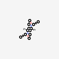 CC(C)c1cc(N(c2ccc(C(C)(C)c3ccccc3)cc2)c2cccc3c2oc2ccccc23)c2ccc3c(C(C)C)cc(N(c4ccc(C(C)(C)c5ccccc5)cc4)c4cccc5c4oc4ccccc45)c4ccc1c2c34